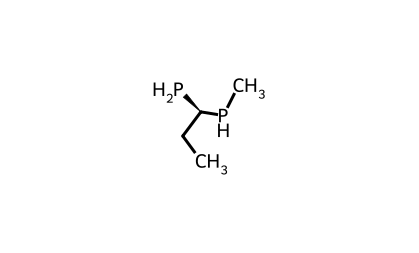 CC[C@@H](P)PC